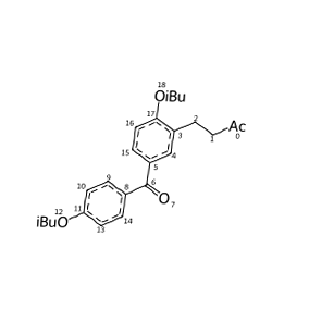 CC(=O)CCc1cc(C(=O)c2ccc(OCC(C)C)cc2)ccc1OCC(C)C